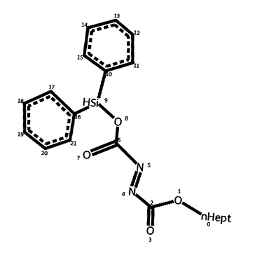 CCCCCCCOC(=O)N=NC(=O)O[SiH](c1ccccc1)c1ccccc1